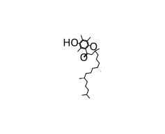 Cc1c(C)c2c(c(C)c1O)C(=O)CC(C)(CCC[C@H](C)CCC[C@H](C)CCCC(C)C)O2